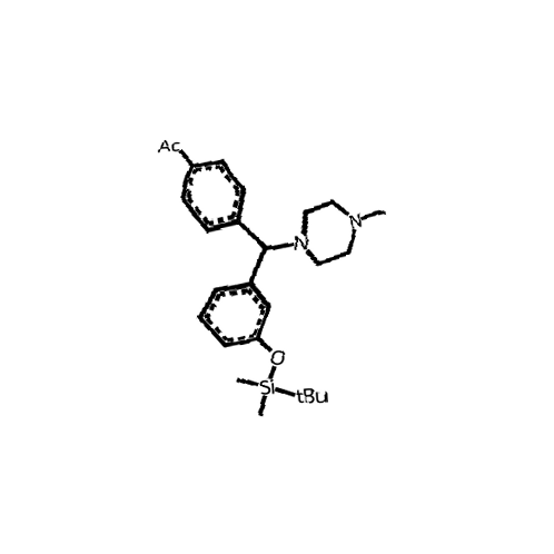 CC(=O)c1ccc(C(c2cccc(O[Si](C)(C)C(C)(C)C)c2)N2CCN(C)CC2)cc1